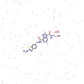 Cc1nc2c(C(=O)NCc3ccc4nc(N)sc4c3)cc(F)cn2c1C(=O)N[C@H](CO)CC(C)C